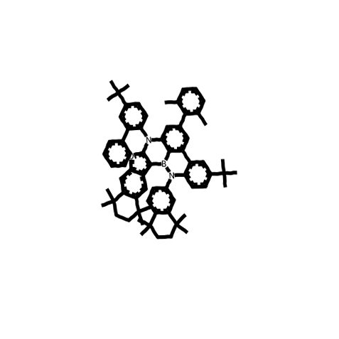 Cc1cccc(C)c1-c1cc2c3c(c1)N(c1ccc(C(C)(C)C)cc1-c1ccccc1)c1oc4cc5c(cc4c1B3N(c1ccc3c(c1)C(C)(C)CCC3(C)C)c1ccc(C(C)(C)C)cc1-2)C(C)(C)CCC5(C)C